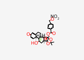 CC1(C)OC2C[C@H]3[C@@H]4CCC5=CC(=O)C=C[C@]5(C)C4(F)C(O)C[C@]3(C)[C@]2(C(=O)COC(=O)c2ccc(CO[N+](=O)[O-])cc2)O1